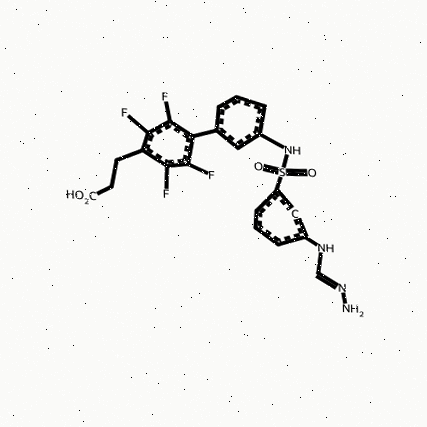 NN=CNc1cccc(S(=O)(=O)Nc2cccc(-c3c(F)c(F)c(CCC(=O)O)c(F)c3F)c2)c1